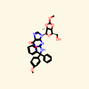 COc1ccc(C(Nc2nc3c(ncn3[C@@H]3O[C@H](CO)C4OC(OC)O[C@@]43C)c(=O)[nH]2)(c2ccccc2)c2ccccc2)cc1